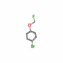 FCOc1ccc(Br)cc1